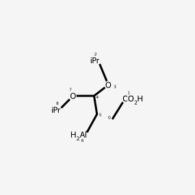 CC(=O)O.CC(C)OC([CH2][AlH2])OC(C)C